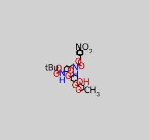 CC1COC(OC2CCCC(OC3OC(CNC(=O)OCc4ccc([N+](=O)[O-])cc4)=CCC3NC(=O)OC(C)(C)C)C2)C(O)C1